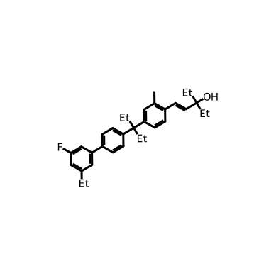 CCc1cc(F)cc(-c2ccc(C(CC)(CC)c3ccc(/C=C/C(O)(CC)CC)c(C)c3)cc2)c1